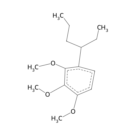 CCCC(CC)c1ccc(OC)c(OC)c1OC